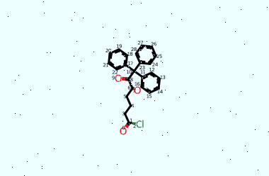 O=C(Cl)CCCC(=O)C(=O)C(c1ccccc1)(c1ccccc1)c1ccccc1